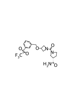 NC(=O)[C@H]1CCN(C(=O)N2CC(OCc3cccc(S(=O)(=O)C(F)(F)F)c3)C2)C1